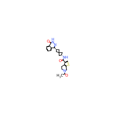 CC(=O)N1CCc2c(C(=O)N[C@H]3CC4(C3)C[C@H](c3n[nH]c(=O)c5ccccc53)C4)csc2C1